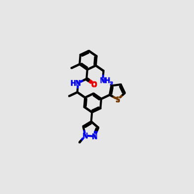 Cc1cccc(CN)c1C(=O)NC(C)c1cc(-c2cnn(C)c2)cc(-c2cccs2)c1